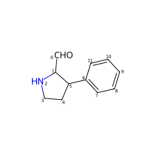 O=CC1NCCC1c1ccccc1